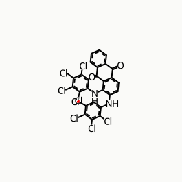 O=C1c2ccccc2C(=O)c2c1ccc(Nc1cc(Cl)c(Cl)c(Cl)c1Cl)c2Nc1cc(Cl)c(Cl)c(Cl)c1Cl